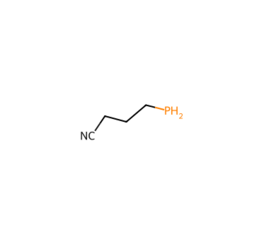 N#CCCCP